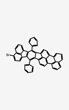 Brc1ccc2c3c(-c4ccccc4)c4c5ccc6c7cccc8cccc(c9ccc(c4c(-c4ccccc4)c3c3cccc1c32)c5c96)c87